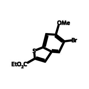 CCOC(=O)c1cc2cc(Br)c(OC)cc2s1